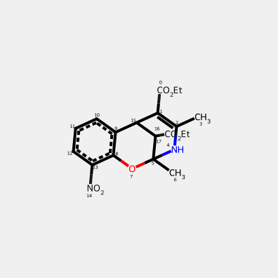 CCOC(=O)C1=C(C)NC2(C)Oc3c(cccc3[N+](=O)[O-])C1C2C(=O)OCC